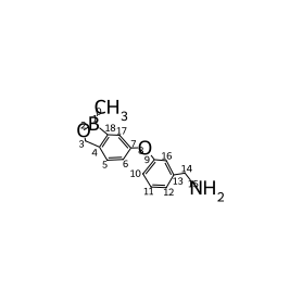 CB1OCc2ccc(Oc3cccc(CN)c3)cc21